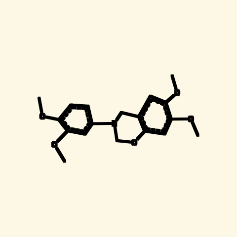 COc1ccc(N2COc3cc(OC)c(OC)cc3C2)cc1OC